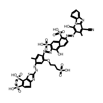 Cc1cc(N=Nc2c(S(=O)(=O)O)cc3c(S(=O)(=O)O)c(N=Nc4c(C)c(C#N)c5nc6ccccc6n5c4O)ccc3c2O)c(OCCCS(=O)(=O)O)cc1N=Nc1nc2ccc(S(=O)(=O)O)c(S(=O)(=O)O)c2s1